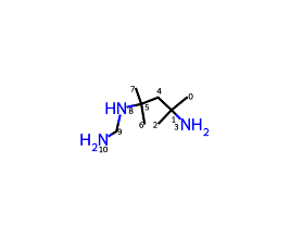 CC(C)(N)CC(C)(C)NCN